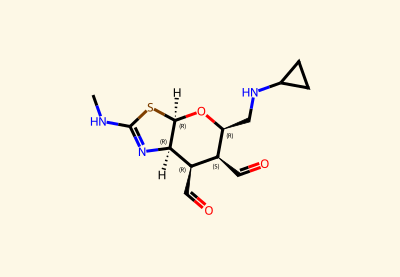 CNC1=N[C@@H]2[C@H](C=O)[C@H](C=O)[C@H](CNC3CC3)O[C@@H]2S1